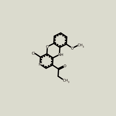 CCC(=O)c1cnc(Cl)c2c1Nc1c(OC)cccc1O2